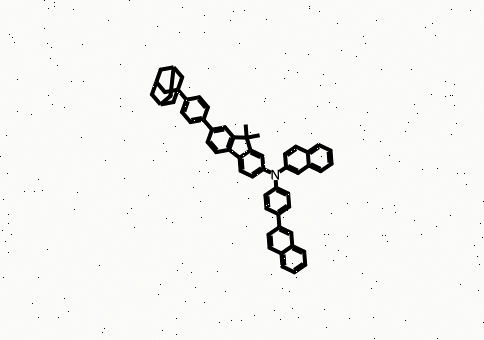 CC1(C)c2cc(-c3ccc(C45CC6CC(CC(C6)C4)C5)cc3)ccc2-c2ccc(N(c3ccc(-c4ccc5ccccc5c4)cc3)c3ccc4ccccc4c3)cc21